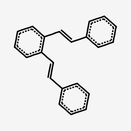 C(=C\c1ccccc1/C=C/c1ccccc1)/c1ccccc1